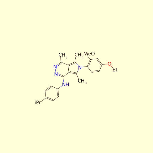 CCOc1ccc(-n2c(C)c3c(C)nnc(Nc4ccc(C(C)C)cc4)c3c2C)c(OC)c1